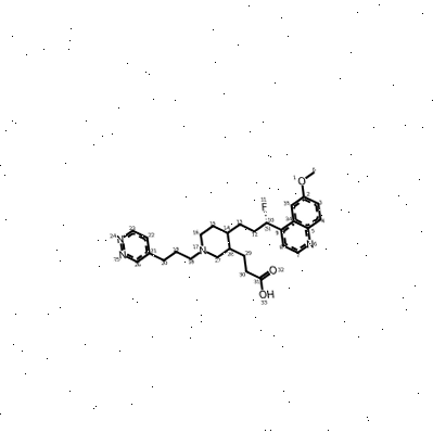 COc1ccc2nccc([C@@H](F)CCC3CCN(CCCc4ccnnc4)CC3CCC(=O)O)c2c1